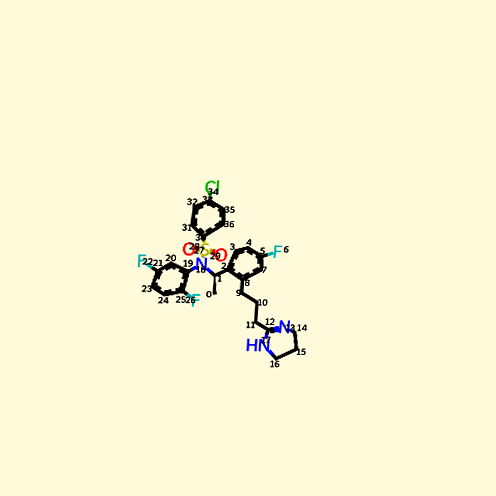 C[C@H](c1ccc(F)cc1CCCC1=NCCCN1)N(c1cc(F)ccc1F)S(=O)(=O)c1ccc(Cl)cc1